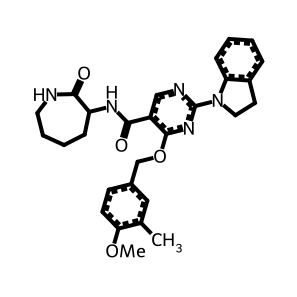 COc1ccc(COc2nc(N3CCc4ccccc43)ncc2C(=O)NC2CCCCNC2=O)cc1C